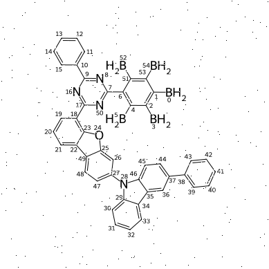 Bc1c(B)c(B)c(-c2nc(-c3ccccc3)nc(-c3cccc4c3oc3cc(-n5c6ccccc6c6cc(-c7ccccc7)ccc65)ccc34)n2)c(B)c1B